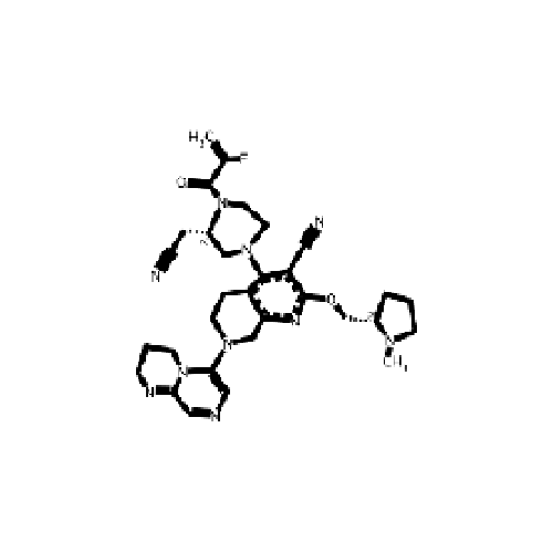 C=C(F)C(=O)N1CCN(c2c(C#N)c(OC[C@@H]3CCCN3C)nc3c2CCN(C2=CN=CC4=NCCCN24)C3)C[C@@H]1CC#N